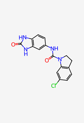 O=C(Nc1ccc2[nH]c(=O)[nH]c2c1)N1CCc2ccc(Cl)cc21